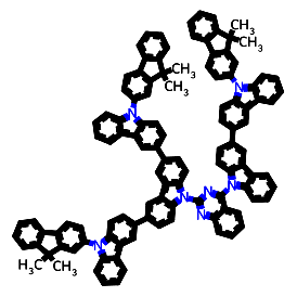 CC1(C)c2ccccc2-c2ccc(-n3c4ccccc4c4cc(-c5ccc6c(c5)c5cc(-c7ccc8c(c7)c7ccccc7n8-c7ccc8c(c7)C(C)(C)c7ccccc7-8)ccc5n6-c5nc(-n6c7ccccc7c7cc(-c8ccc9c(c8)c8ccccc8n9-c8ccc9c(c8)C(C)(C)c8ccccc8-9)ccc76)c6ccccc6n5)ccc43)cc21